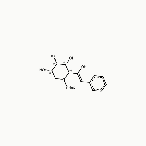 CCCCCCN1C[C@H](O)[C@@H](O)[C@H](O)[C@H]1C(O)=Cc1ccccc1